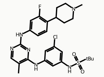 Cc1cnc(Nc2ccc(C3CCN(C)CC3)c(F)c2)nc1Nc1cc(Cl)cc(NS(=O)(=O)C(C)(C)C)c1